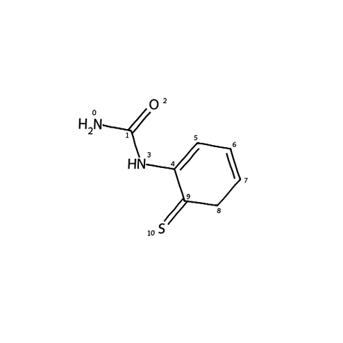 NC(=O)NC1=CC=CCC1=S